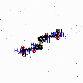 CC(=O)N[C@@H](CCCCNC(=O)c1cnc2c(SSc3cccc4cc(C(=O)NCCCC[C@@H](NC(C)=O)C(N)=O)cnc34)cccc2c1)C(N)=O